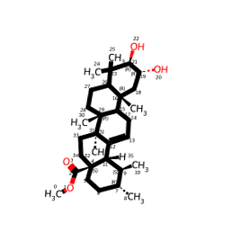 COC(=O)[C@]12CC[C@@H](C)[C@H](C)[C@H]1C1=CCC3[C@@]4(C)C[C@@H](O)[C@H](O)C(C)(C)C4CC[C@@]3(C)[C@]1(C)CC2